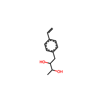 C=Cc1ccc(CC(O)C(C)O)cc1